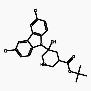 CC(C)(C)OC(=O)C1CNCC(O)(n2c3ccc(Cl)cc3c3cc(Cl)ccc32)C1